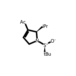 CC(=O)C1=CCN([S@@+]([O-])C(C)(C)C)[C@@H]1C(C)C